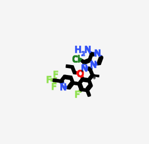 CCCOc1c([C@H](C)c2nc(Cl)c3c(N)nccn23)cc(C)c(F)c1-c1ccc(C(F)(F)F)nc1